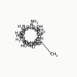 C/C=C1\NC(=O)[C@H]([C@H](C)O)NC(=O)[C@H](CCN)NC(=O)[C@H](CCCCN)NC(=O)[C@H](CC(=O)O)NC(=O)[C@@H](CCN)NC(=O)[C@@H](NC(=O)C[C@H](O)CCCCCCCCCCC)COC(=O)[C@H]([C@H](O)CCl)NC(=O)[C@H]([C@H](O)C(=O)O)NC1=O